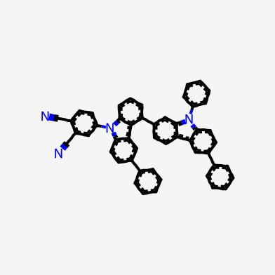 N#Cc1ccc(-n2c3ccc(-c4ccccc4)cc3c3c(-c4ccc5c6cc(-c7ccccc7)ccc6n(-c6ccccc6)c5c4)cccc32)cc1C#N